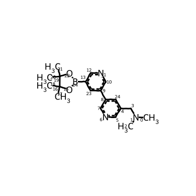 CN(C)Cc1cncc(-c2cncc(B3OC(C)(C)C(C)(C)O3)c2)c1